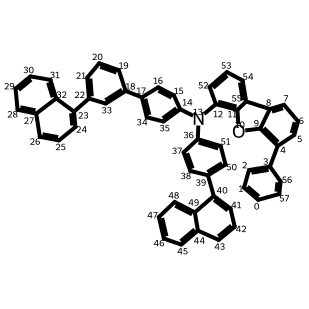 c1ccc(-c2cccc3c2oc2c(N(c4ccc(-c5cccc(-c6cccc7ccccc67)c5)cc4)c4ccc(-c5cccc6ccccc56)cc4)cccc23)cc1